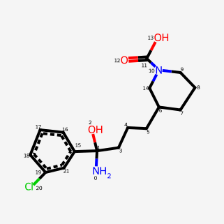 NC(O)(CCCC1CCCN(C(=O)O)C1)c1cccc(Cl)c1